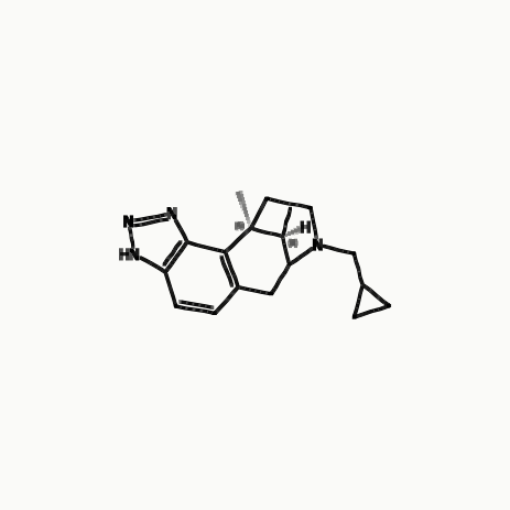 C[C@H]1C2Cc3ccc4[nH]nnc4c3[C@@]1(C)CCN2CC1CC1